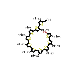 C#Cc1sc(-c2sc(-c3sc(-c4sc(-c5sc(-c6sc(-c7sc(-c8sc(-c9sc(-c%10sc(Br)cc%10CCCCCC)cc9CCCCCC)cc8CCCCCC)cc7CCCCCC)cc6CCCCCC)cc5CCCCCC)cc4CCCCCC)cc3CCCCCC)cc2CCCCCC)cc1CCCCCC